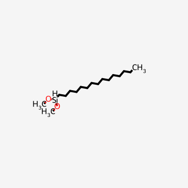 CCCCCCCCCCCCCCC[SiH](OC)OC